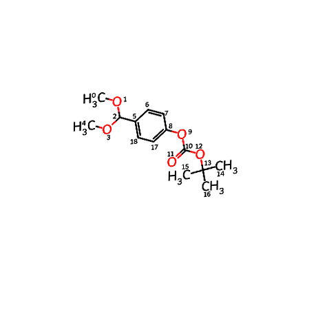 COC(OC)c1ccc(OC(=O)OC(C)(C)C)cc1